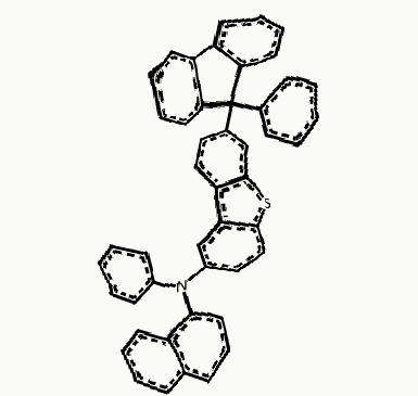 c1ccc(N(c2ccc3sc4cc(C5(c6ccccc6)c6ccccc6-c6ccccc65)ccc4c3c2)c2cccc3ccccc23)cc1